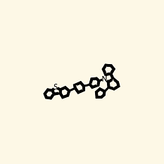 c1ccc(-c2cccc3c4ccccc4n(-c4ccc(-c5ccc(-c6ccc7c(c6)sc6ccccc67)cc5)cc4)c23)cc1